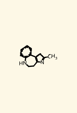 CC1=NC2=C(C1)c1ccccc1NCC2